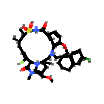 COCCN(C)C(=O)[C@H]1/C(F)=C/C[C@H](C)[C@@H](C)S(=O)(=O)NC(=O)c2ccc3c(c2)N(C[C@@H]2CCCN21)C[C@@]1(CCCc2cc(Cl)ccc21)CO3